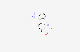 CCC(=O)CC1C=CC(C2CNCCO2)=CC1(Cc1ccccc1)N(C)C